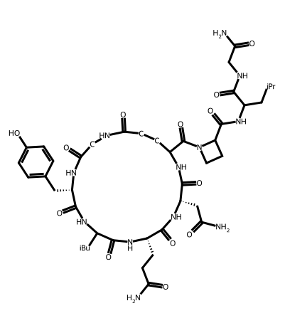 CCC(C)C1NC(=O)[C@H](Cc2ccc(O)cc2)NC(=O)CNC(=O)CCC(C(=O)N2CCC2C(=O)NC(CC(C)C)C(=O)NCC(N)=O)NC(=O)[C@H](CC(N)=O)NC(=O)[C@H](CCC(N)=O)NC1=O